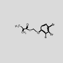 C=C(C)C(=O)OCOc1ccc(Br)c(Br)c1Br